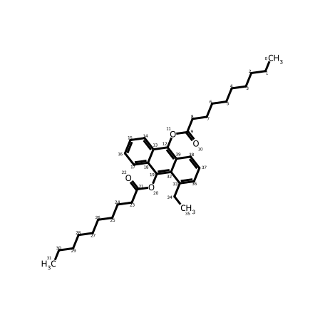 CCCCCCCCCC(=O)Oc1c2ccccc2c(OC(=O)CCCCCCCCC)c2c(CC)cccc12